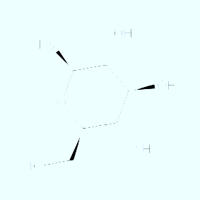 OC[C@H]1O[C@@H](S)[C@H](O)[C@@H](O)[C@@H]1S